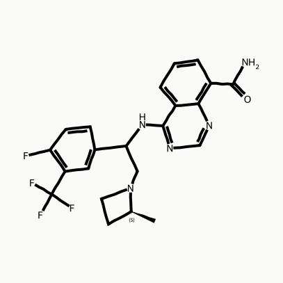 C[C@H]1CCN1CC(Nc1ncnc2c(C(N)=O)cccc12)c1ccc(F)c(C(F)(F)F)c1